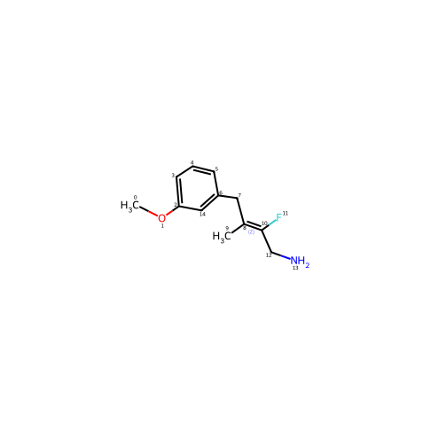 COc1cccc(C/C(C)=C(\F)CN)c1